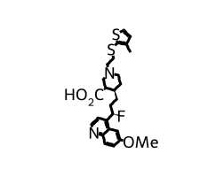 COc1ccc2nccc([C@@H](F)CC[C@@H]3CCN(CCSc4sccc4C)C[C@@H]3C(=O)O)c2c1